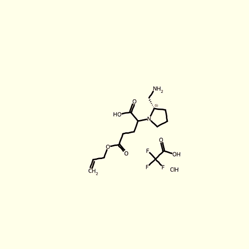 C=CCOC(=O)CCC(C(=O)O)N1CCC[C@H]1CN.Cl.O=C(O)C(F)(F)F